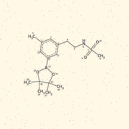 Cc1cc(CCNS(C)(=O)=O)cc(B2OC(C)(C)C(C)(C)O2)c1